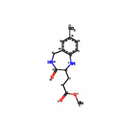 CC(C)(C)OC(=O)CCC1Nc2ccc([N+](=O)[O-])cc2CNC1=O